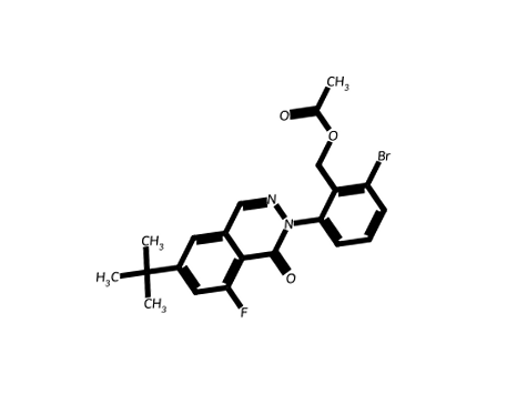 CC(=O)OCc1c(Br)cccc1-n1ncc2cc(C(C)(C)C)cc(F)c2c1=O